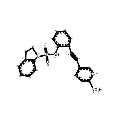 O=C(O)c1ccc(C#Cc2ccccc2NS(=O)(=O)N2CCc3ccccc32)cn1